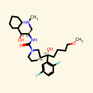 CNC[C@@H](NC(=O)N1CCC[C@@H]([C@@](O)(CCCCOC)c2cc(F)ccc2F)C1)[C@@H](O)C1CCCCC1